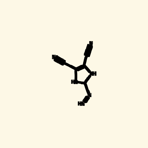 N#CC1=C(C#N)NC(N=N)N1